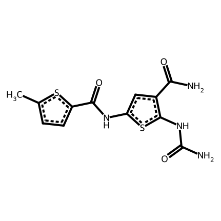 Cc1ccc(C(=O)Nc2cc(C(N)=O)c(NC(N)=O)s2)s1